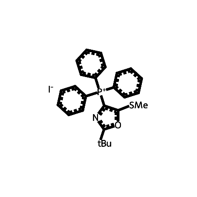 CSc1oc(C(C)(C)C)nc1[P+](c1ccccc1)(c1ccccc1)c1ccccc1.[I-]